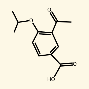 CC(=O)c1cc(C(=O)O)ccc1OC(C)C